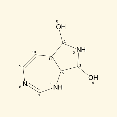 OC1NC(O)C2NC=NC=CC12